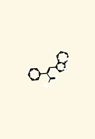 NC(=O)/C(=C\c1c[nH]c2n[c]ccc12)c1ccccc1